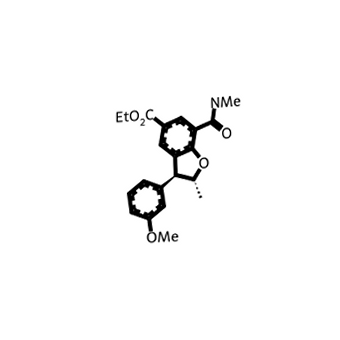 CCOC(=O)c1cc(C(=O)NC)c2c(c1)[C@H](c1cccc(OC)c1)[C@@H](C)O2